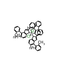 CCCc1ccc2c(c1-c1ccccc1C)C=C(c1ccccc1)[CH]2[Zr]([Cl])([Cl])([c]1cccc2c1[SiH2]c1ccccc1-2)[CH]1C(c2ccccc2)=Cc2c1ccc(CCC)c2-c1ccccc1C